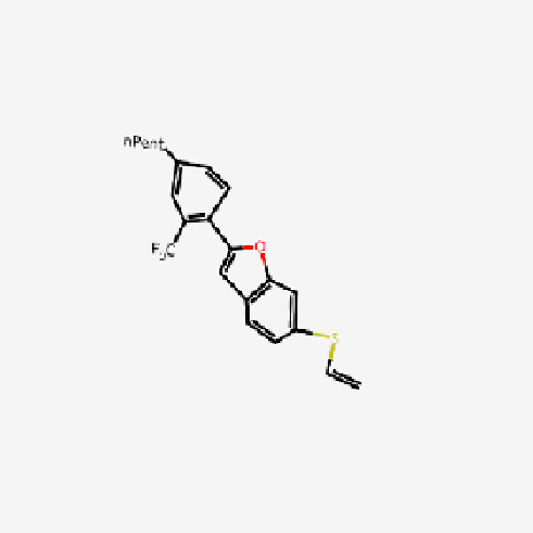 C=CSc1ccc2cc(-c3ccc(CCCCC)cc3C(F)(F)F)oc2c1